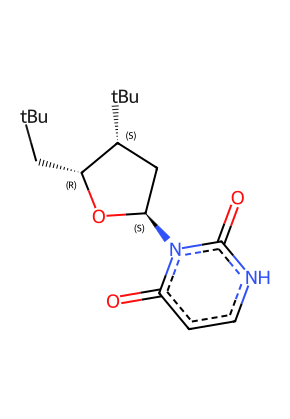 CC(C)(C)C[C@H]1O[C@H](n2c(=O)cc[nH]c2=O)C[C@H]1C(C)(C)C